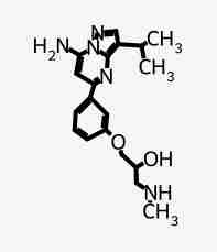 CNCC(O)COc1cccc(-c2cc(N)n3ncc(C(C)C)c3n2)c1